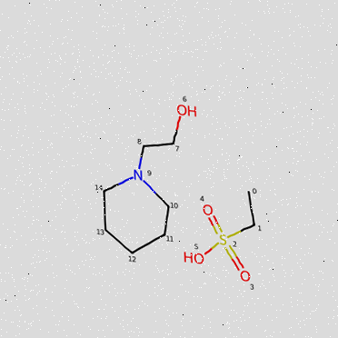 CCS(=O)(=O)O.OCCN1CCCCC1